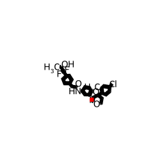 Cc1cc(Cl)ccc1C1(Oc2ccc(NC(=O)Cc3ccc(C(F)(F)C(C)O)cc3)cc2F)CCOCC1